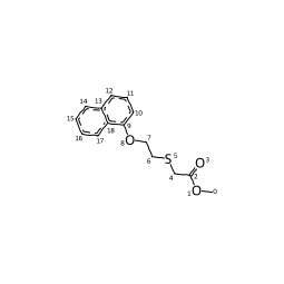 COC(=O)CSCCOc1cccc2ccccc12